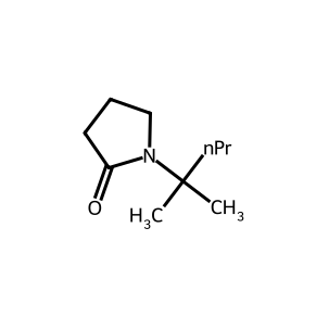 [CH2]CCC(C)(C)N1CCCC1=O